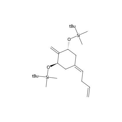 C=CCC=C1C[C@@H](O[Si](C)(C)C(C)(C)C)C(=C)[C@H](O[Si](C)(C)C(C)(C)C)C1